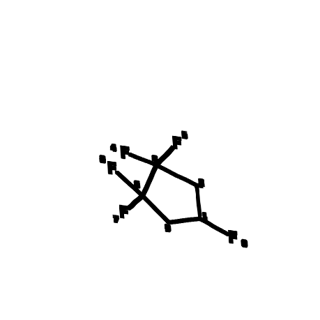 FC1[CH]C(F)(F)C(F)(F)C1